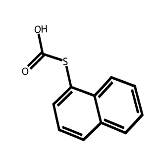 O=C(O)Sc1cccc2ccccc12